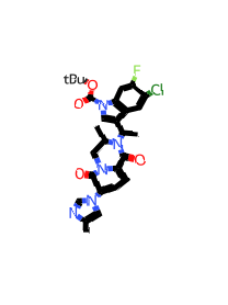 Cc1cn(-c2ccc3n(c2=O)CC(C)N(C(C)c2cn(C(=O)OC(C)(C)C)c4cc(F)c(Cl)cc24)C3=O)cn1